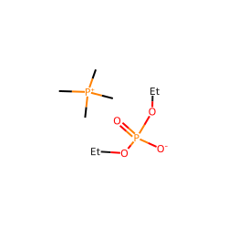 CCOP(=O)([O-])OCC.C[P+](C)(C)C